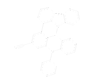 N#Cc1cc2c3c(c1)N(c1ccccc1)c1ccccc1B3n1c3ccccc3c3cccc-2c31